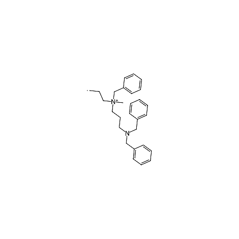 [CH2]CC[N+](C)(CCCN(Cc1ccccc1)Cc1ccccc1)Cc1ccccc1